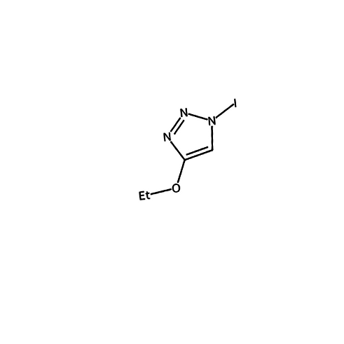 CCOc1cn(I)nn1